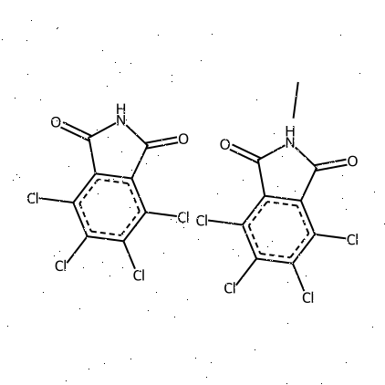 CC.O=C1NC(=O)c2c(Cl)c(Cl)c(Cl)c(Cl)c21.O=C1NC(=O)c2c(Cl)c(Cl)c(Cl)c(Cl)c21